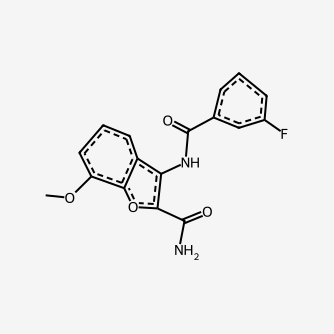 COc1cccc2c(NC(=O)c3cccc(F)c3)c(C(N)=O)oc12